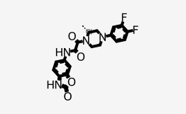 C[C@@H]1CN(c2ccc(F)c(F)c2)CCN1C(=O)C(=O)Nc1ccc2[nH]c(=O)oc2c1